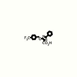 O=C(O)c1sc(-c2ccccc2)nc1OCc1ccc(C(F)(F)F)cc1